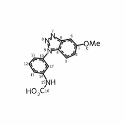 COc1ccc2c(c1)nnn2-c1cccc(NC(=O)O)c1